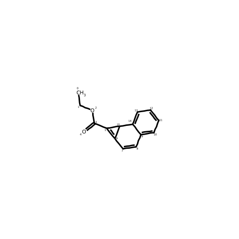 CCOC(=O)C1=C2C=Cc3ccccc3C21